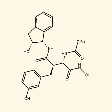 CC(C)COC(=O)N[C@H](C(=O)NO)[C@@H](Cc1cccc(O)c1)C(=O)N[C@H]1c2ccccc2C[C@H]1O